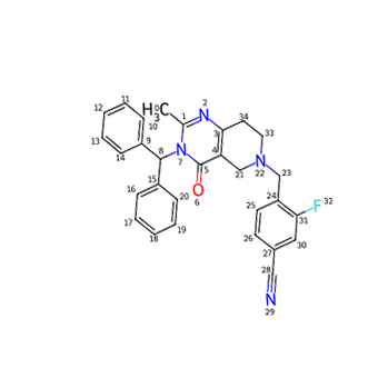 Cc1nc2c(c(=O)n1C(c1ccccc1)c1ccccc1)CN(Cc1ccc(C#N)cc1F)CC2